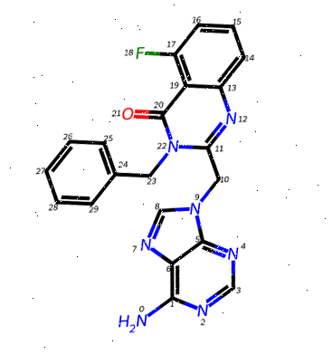 Nc1ncnc2c1ncn2Cc1nc2cccc(F)c2c(=O)n1Cc1ccccc1